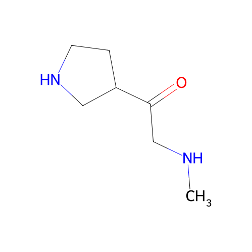 CNCC(=O)C1CCNC1